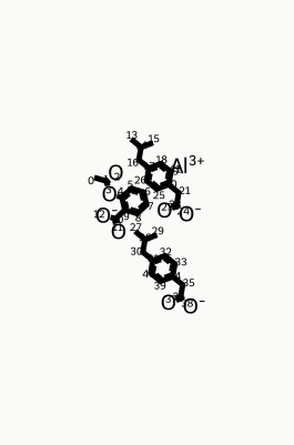 CC(=O)Oc1ccccc1C(=O)[O-].CC(C)Cc1ccc(CC(=O)[O-])cc1.CC(C)Cc1ccc(CC(=O)[O-])cc1.[Al+3]